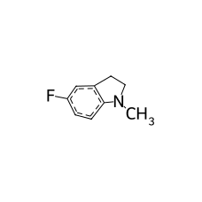 CN1CCc2cc(F)ccc21